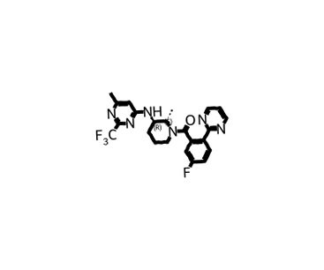 Cc1cc(N[C@@H]2CCCN(C(=O)c3cc(F)ccc3-c3ncccn3)[C@H]2C)nc(C(F)(F)F)n1